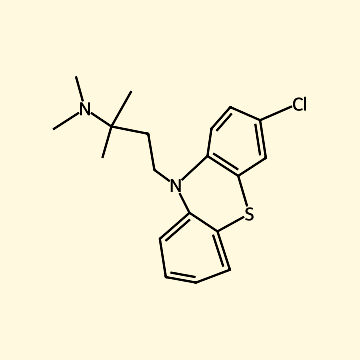 CN(C)C(C)(C)CCN1c2ccccc2Sc2cc(Cl)ccc21